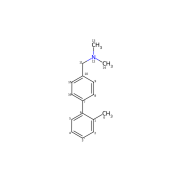 Cc1c[c]ccc1-c1ccc(CN(C)C)cc1